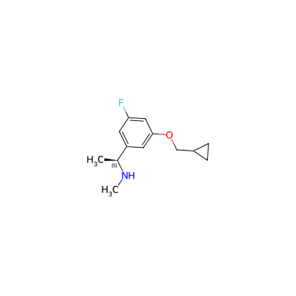 CN[C@@H](C)c1cc(F)cc(OCC2CC2)c1